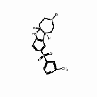 CCN1CC[C@H]2Nc3ccc(S(=O)(=O)c4cccc(C)c4)cc3[C@@H]2CC1